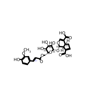 COc1cc(/C=C/C(=O)OC[C@H]2O[C@@H](O[C@@H]3OC=C(C(=O)O)[C@H]4CC=C(C(=O)O)[C@@H]34)[C@H](O)[C@@H](O)[C@@H]2O)ccc1O